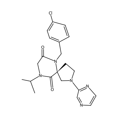 CC(C)N1CC(=O)N(Cc2ccc(Cl)cc2)[C@@]2(CCN(c3cnccn3)C2)C1=O